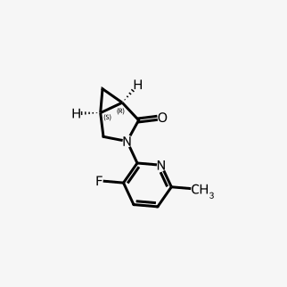 Cc1ccc(F)c(N2C[C@H]3C[C@H]3C2=O)n1